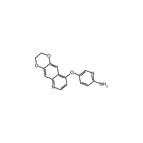 Nc1ccc(Oc2ccnc3cc4c(cc23)OCCO4)cn1